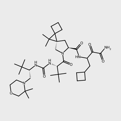 CC(C)(C)[C@H](NC(=O)N[C@H](CN1CCOCC1(C)C)C(C)(C)C)C(=O)N1C[C@]2(C[C@H]1C(=O)NC(CC1CCC1)C(=O)C(N)=O)C(C)(C)C21CCC1